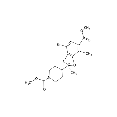 COC(=O)c1cc(Br)c2c(c1C)O[C@@](C)(C1CCN(C(=O)OC)CC1)O2